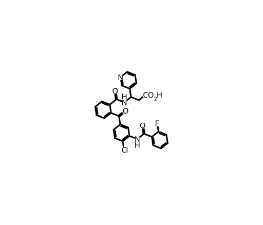 O=C(O)CC(NC(=O)c1ccccc1C(=O)c1ccc(Cl)c(NC(=O)c2ccccc2F)c1)c1cccnc1